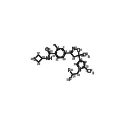 Cc1cc(C2=NOC(c3cc(C(F)(F)F)n(CC(F)F)c3)(C(F)(F)F)C2)ccc1C(=O)NC1CSC1